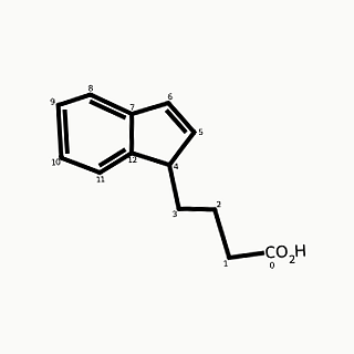 O=C(O)CCCC1C=Cc2ccccc21